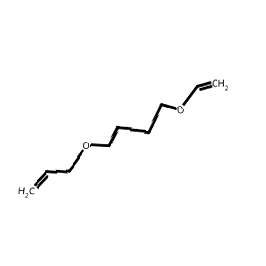 C=CCOCCCCOC=C